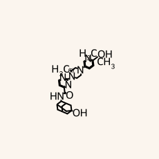 C[C@@H]1CN(c2ccc(C(C)(C)O)nc2)CCN1c1nccc(C(=O)NC2C3CC4CC2CC(O)(C4)C3)n1